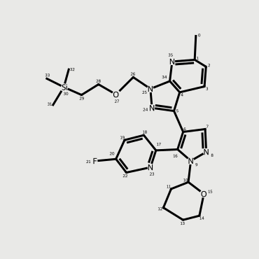 Cc1ccc2c(-c3cnn(C4CCCCO4)c3-c3ccc(F)cn3)nn(COCC[Si](C)(C)C)c2n1